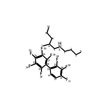 CCCCNCC(C)CCC.Fc1ccc(-c2c(F)c(F)c(F)c(F)c2F)c(F)c1F